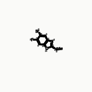 CNc1nc2cc(Br)c(F)cc2o1